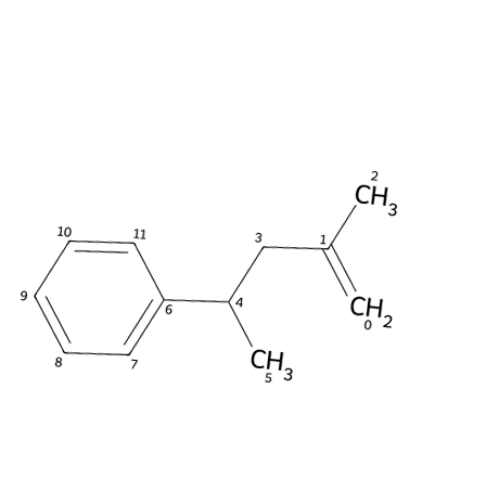 C=C(C)CC(C)c1ccccc1